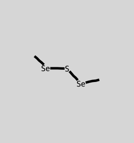 C[Se]S[Se]C